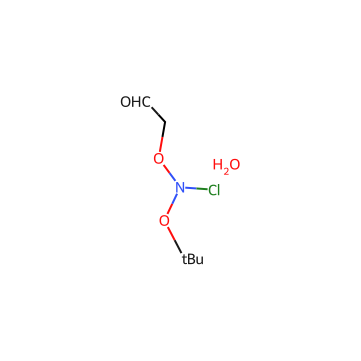 CC(C)(C)ON(Cl)OCC=O.O